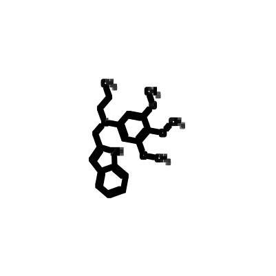 CCCN(Cc1cc2ccccc2[nH]1)c1cc(OC)c(OC)c(OC)c1